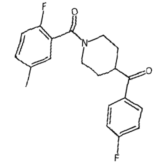 Cc1ccc(F)c(C(=O)N2CCC(C(=O)c3ccc(F)cc3)CC2)c1